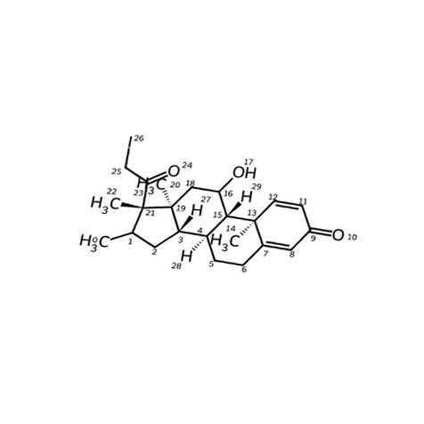 CC1C[C@H]2[C@@H]3CCC4=CC(=O)C=C[C@]4(C)[C@H]3C(O)C[C@]2(C)[C@@]1(C)C(=O)CI